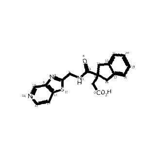 O=C(O)CC1(C(=O)NCc2nc3cnccc3s2)Cc2ccccc2C1